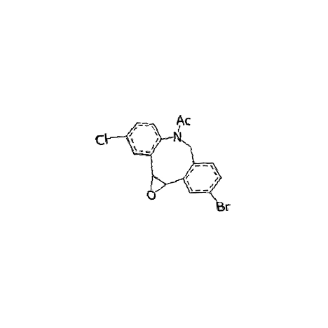 CC(=O)N1Cc2ccc(Br)cc2C2OC2c2cc(Cl)ccc21